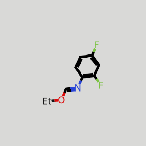 CCOC=Nc1ccc(F)cc1F